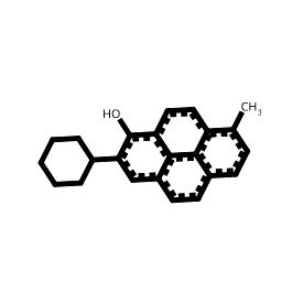 Cc1ccc2ccc3cc(C4CCCCC4)c(O)c4ccc1c2c34